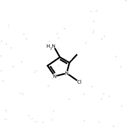 Cc1c(N)cnn1Cl